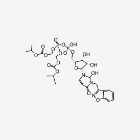 CC(C)OC(=O)OCOP(=O)(OCOC(=O)OC(C)C)OP(=O)(O)OC[C@H]1O[C@@H](N2C=CC(=O)N(Cc3noc4ccccc34)C2O)[C@@H](O)[C@H]1O